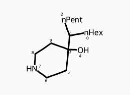 CCCCCCC(CCCCC)C1(O)CCNCC1